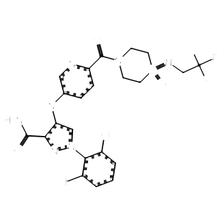 NC(=O)c1nn(-c2c(Cl)cccc2Cl)cc1Nc1ccc(C(=O)N2CCS(=O)(=NCC(F)(F)F)CC2)nc1